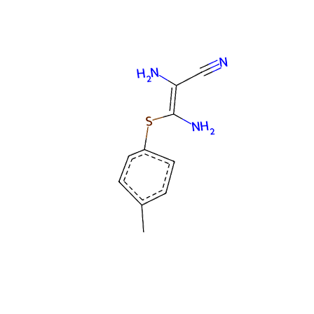 Cc1ccc(S/C(N)=C(\N)C#N)cc1